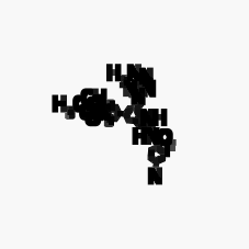 CC(C)(C)OC(=O)N1CC=C(c2cc(Cn3cnc4c(N)ncnc43)c3[nH]c(CNC(=O)c4ccc(C#N)cc4F)cc3c2)CC1